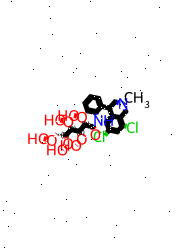 CN1Cc2c(Cl)cc(Cl)cc2C(c2ccccc2NC(=O)[C@H](OO)[C@@H](OO)[C@H](OO)[C@@H](COO)OO)C1